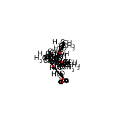 CN(C(=O)OC(C)(C)C)[C@@H]1[C@@H](O)[C@@H](O[C@H]2[C@H](NC(=O)[C@@H](O)CCNC(=O)OC(C)(C)C)C[C@H](NC(=O)OC(C)(C)C)C([C@H]3OC(CNCCCCNC(=O)OCC4c5ccccc5-c5ccccc54)=CC[C@H]3NC(=O)OC(C)(C)C)[C@@H]2O)OC[C@]1(C)O